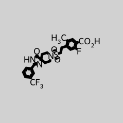 Cc1cc(C(=O)O)c(F)cc1CCS(=O)(=O)N1CCC2(CC1)N=C(c1cccc(C(F)(F)F)c1)NC2=O